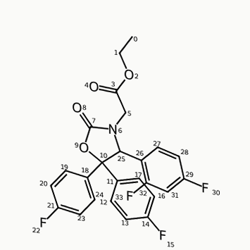 CCOC(=O)CN1C(=O)OC(c2ccc(F)cc2)(c2ccc(F)cc2)C1c1ccc(F)cc1F